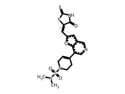 CN(C)S(=O)(=O)N1CC=C(c2cncc3cc(/C=C4/SC(=S)NC4=O)oc23)CC1